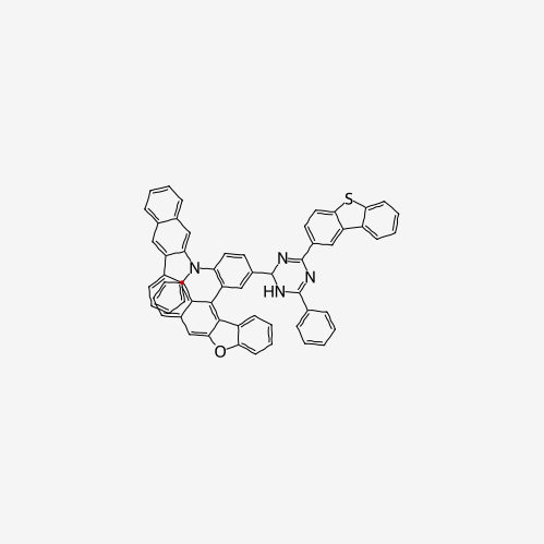 c1ccc(C2=NC(c3ccc4sc5ccccc5c4c3)=NC(c3ccc(-n4c5ccccc5c5cc6ccccc6cc54)c(-c4c5ccccc5cc5oc6ccccc6c45)c3)N2)cc1